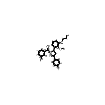 CCCOc1cccc(C2CC(c3ccc(F)cc3)=NN2C(=O)c2cccc(F)c2)c1OC